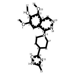 COc1cc2c(N3CCC(c4nc(C)no4)CC3)nncc2c(OC)c1OC